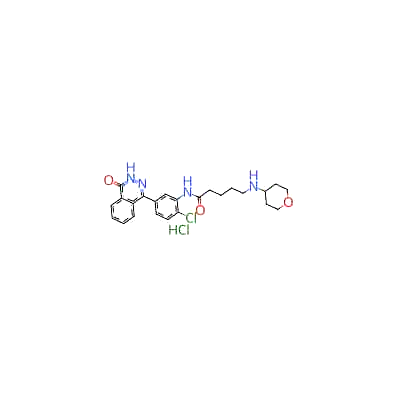 Cl.O=C(CCCCNC1CCOCC1)Nc1cc(-c2n[nH]c(=O)c3ccccc23)ccc1Cl